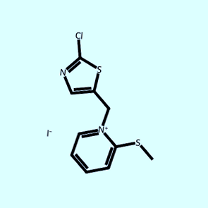 CSc1cccc[n+]1Cc1cnc(Cl)s1.[I-]